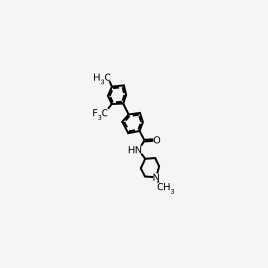 Cc1ccc(-c2ccc(C(=O)NC3CCN(C)CC3)cc2)c(C(F)(F)F)c1